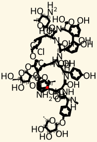 CN[C@@H](C(=O)NC1C(O)=N[C@@H](c2ccc(O)cc2)C(O)=N[C@H]2C(O)=N[C@H]3C(O)=N[C@H](C(O)=N[C@@H](C(=O)O)c4cc(O)cc(O)c4-c4cc3ccc4O)[C@H](O[C@H]3C[C@@H](N)[C@@H](O)[C@H](C)O3)c3ccc(c(Cl)c3)Oc3cc2cc(c3O[C@@H]2O[C@H](CO)[C@@H](O)[C@H](O)[C@H]2O[C@H]2C[C@@H](N)[C@@H](O)[C@H](C)O2)Oc2ccc(cc2)[C@H]1O)c1ccc(O[C@@H]2O[C@@H](C)[C@H](O)[C@@H](O)[C@H]2O)cc1